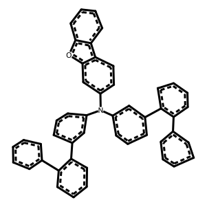 c1ccc(-c2ccccc2-c2cccc(N(c3cccc(-c4ccccc4-c4ccccc4)c3)c3ccc4c(c3)oc3ccccc34)c2)cc1